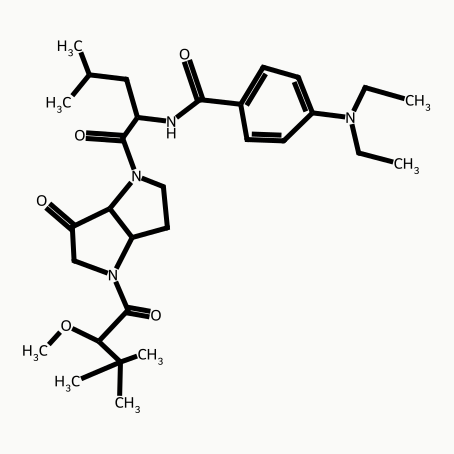 CCN(CC)c1ccc(C(=O)NC(CC(C)C)C(=O)N2CCC3C2C(=O)CN3C(=O)C(OC)C(C)(C)C)cc1